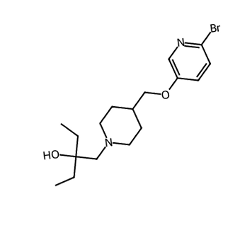 CCC(O)(CC)CN1CCC(COc2ccc(Br)nc2)CC1